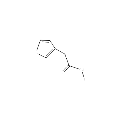 O=C(Cc1ccsc1)NI